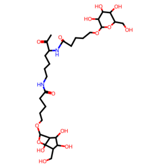 CC(=O)C(CCCCNC(=O)CCCCOC1OC2(O)C(CO)C(O)C(O)C12)NC(=O)CCCCOC1OC(CO)C(O)C(O)C1O